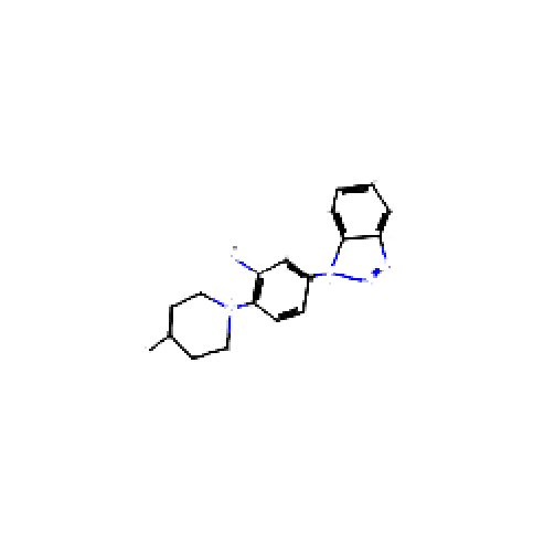 CC1CCN(c2ccc(-n3nnc4ccccc43)cc2N)CC1